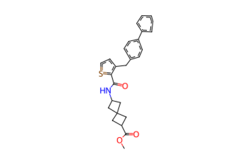 COC(=O)C1CC2(CC(NC(=O)c3sccc3Cc3ccc(-c4ccccc4)cc3)C2)C1